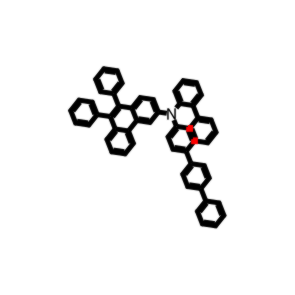 c1ccc(-c2ccc(-c3ccc(N(c4ccc5c(-c6ccccc6)c(-c6ccccc6)c6ccccc6c5c4)c4ccccc4-c4ccccc4)cc3)cc2)cc1